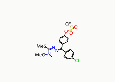 CON(C)C(=NN=C(c1ccc(Cl)cc1)c1ccc(OS(=O)(=O)C(F)(F)F)cc1)SC